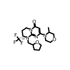 CC1COCCN1c1cc(=O)n2c(n1)N(CC1CCCO1)[C@H](C(F)(F)F)CC2